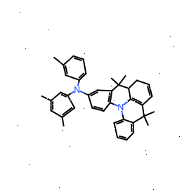 Cc1cccc(N(c2cc(C)cc(C)c2)c2ccc3c(c2)C(C)(C)C2CC=CC4=C2N3c2ccccc2C4(C)C)c1